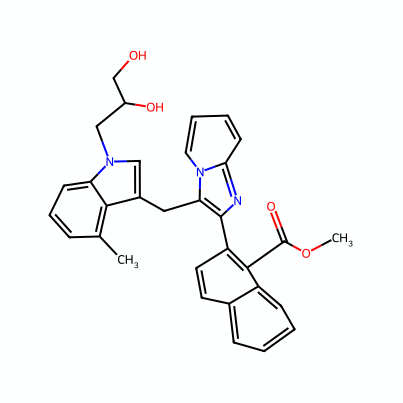 COC(=O)c1c(-c2nc3ccccn3c2Cc2cn(CC(O)CO)c3cccc(C)c23)ccc2ccccc12